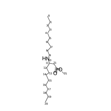 CCCCCCCCCCNC(CCCCCCCCC)CC(=O)OC